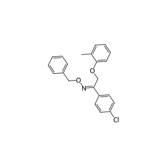 Cc1ccccc1OCC(=NOCc1ccccc1)c1ccc(Cl)cc1